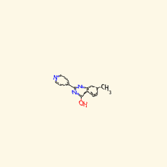 Cc1ccc2c(O)nc(-c3ccncc3)nc2c1